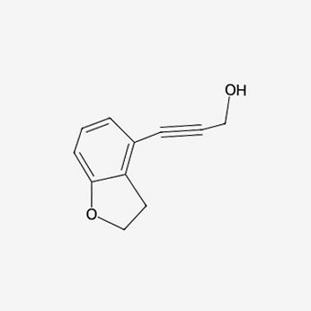 OCC#Cc1cccc2c1CCO2